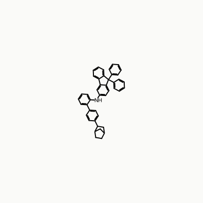 c1ccc(C2(c3ccccc3)c3ccccc3-c3cc(Nc4ccccc4-c4ccc(C5CC6CCC5C6)cc4)ccc32)cc1